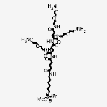 CSP(=O)(OCCCCCCNC(=O)CCCC(=O)NC(CCC(=O)NC(CCC(=O)NCCOCCON)C(=O)NCCOCCON)C(=O)NCCOCCON)C(C)C